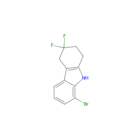 FC1(F)CCc2[nH]c3c(Br)cccc3c2C1